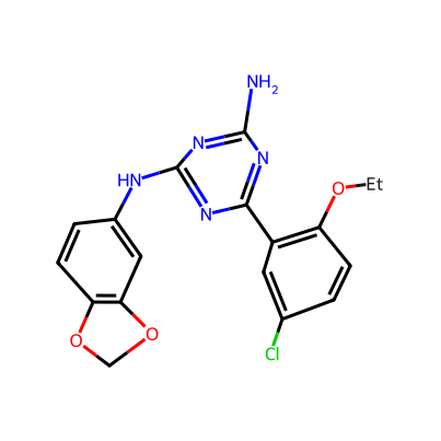 CCOc1ccc(Cl)cc1-c1nc(N)nc(Nc2ccc3c(c2)OCO3)n1